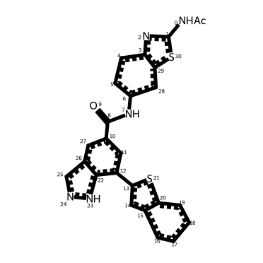 CC(=O)Nc1nc2ccc(NC(=O)c3cc(-c4cc5ccccc5s4)c4[nH]ncc4c3)cc2s1